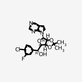 CC1(C)O[C@H]2[C@@H](O1)[C@H](n1ccc3cncnc31)O[C@@H]2[C@H](O)c1ccc(Cl)c(F)c1